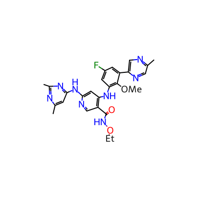 CCONC(=O)c1cnc(Nc2cc(C)nc(C)n2)cc1Nc1cc(F)cc(-c2cnc(C)cn2)c1OC